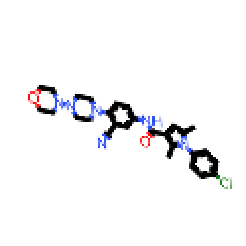 Cc1cc(C(=O)Nc2ccc(N3CCN(N4CCOCC4)CC3)c(C#N)c2)c(C)n1-c1ccc(Cl)cc1